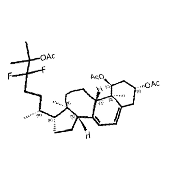 CC(=O)O[C@@H]1CC2=CC=C3[C@@H]4CC[C@H]([C@H](C)CCC(F)(F)C(C)(C)OC(C)=O)[C@@]4(C)CC[C@@H]3[C@@]2(C)[C@@H](OC(C)=O)C1